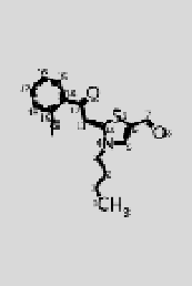 CCCCN1C=C(C=O)SC1=CC(=O)c1ccccc1F